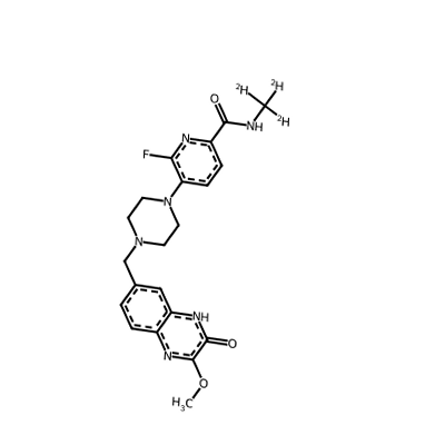 [2H]C([2H])([2H])NC(=O)c1ccc(N2CCN(Cc3ccc4nc(OC)c(=O)[nH]c4c3)CC2)c(F)n1